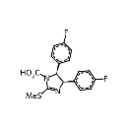 CSC1=N[C@H](c2ccc(F)cc2)[C@H](c2ccc(F)cc2)N1C(=O)O